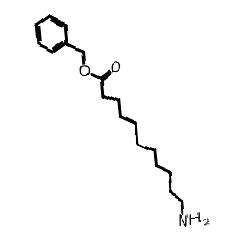 NCCCCCCCCCCC(=O)OCc1ccccc1